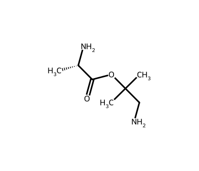 C[C@H](N)C(=O)OC(C)(C)CN